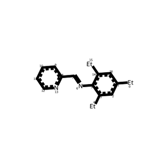 CCc1cc(CC)c(N=Cc2ccccn2)c(CC)c1